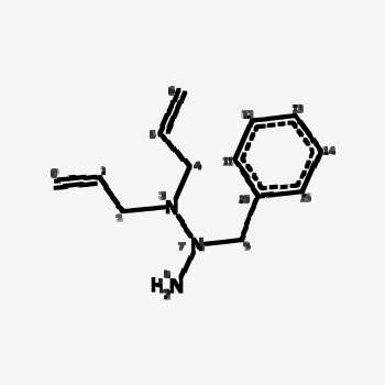 C=CCN(CC=C)N(N)Cc1ccccc1